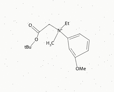 CC[N+](C)(CC(=O)OC(C)(C)C)c1cccc(OC)c1